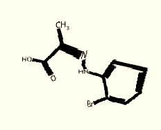 C/C(=N/Nc1ccccc1Br)C(=O)O